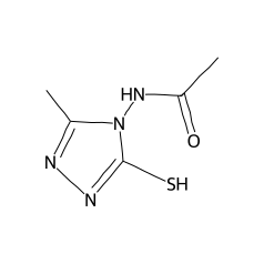 CC(=O)Nn1c(C)nnc1S